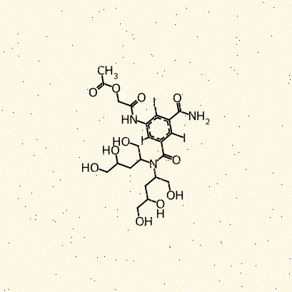 CC(=O)OCC(=O)Nc1c(I)c(C(N)=O)c(I)c(C(=O)N(C(CO)CC(O)CO)C(CO)CC(O)CO)c1I